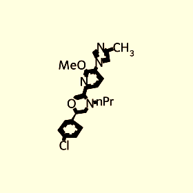 CCCN1C[C@@H](c2ccc(Cl)cc2)OC=C1c1ccc(-n2cnc(C)c2)c(OC)n1